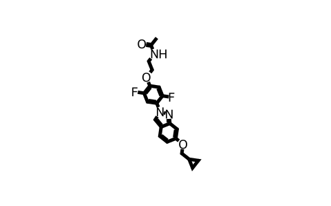 CC(=O)NCCOc1cc(F)c(-n2cc3ccc(OCC4CC4)cc3n2)cc1F